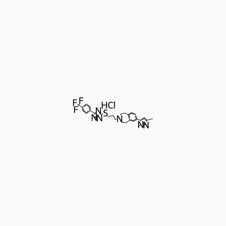 Cc1cc(-c2ccc3c(c2)CCN(CCCSc2nnc(-c4ccc(C(F)(F)F)cc4)n2C)CC3)n(C)n1.Cl